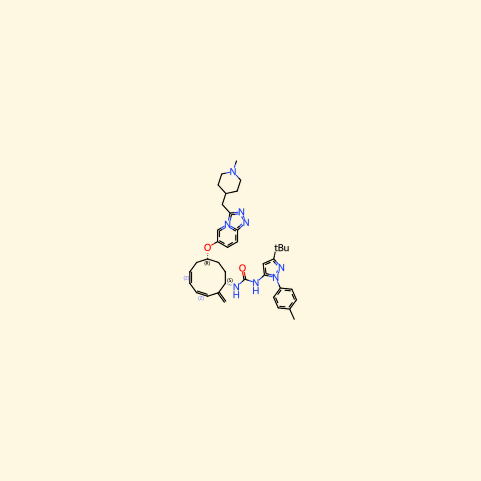 C=C1/C=C\C=C/C[C@H](Oc2ccc3nnc(CC4CCN(C)CC4)n3c2)CC[C@@H]1NC(=O)Nc1cc(C(C)(C)C)nn1-c1ccc(C)cc1